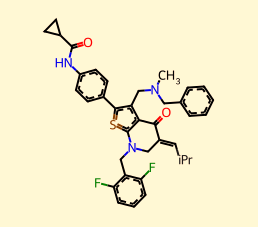 CC(C)C=C1CN(Cc2c(F)cccc2F)c2sc(-c3ccc(NC(=O)C4CC4)cc3)c(CN(C)Cc3ccccc3)c2C1=O